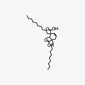 CCCCCCCCCCC1(C(=O)O)C=CCC(CCCCCCCCCC)(C(=O)O)C1C